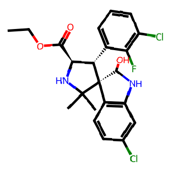 CCOC(=O)[C@@H]1NC(C)(C)[C@]2(c3ccc(Cl)cc3NC2O)[C@H]1c1cccc(Cl)c1F